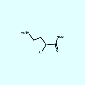 CNC(=O)N(CCNC(C)=O)C(C)=O